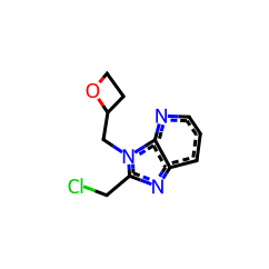 ClCc1nc2cccnc2n1CC1CCO1